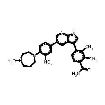 Cc1c(C(N)=O)ccc(-c2c[nH]c3ncc(-c4ccc(N5CCCN(C)CC5)c([N+](=O)[O-])c4)cc23)c1C